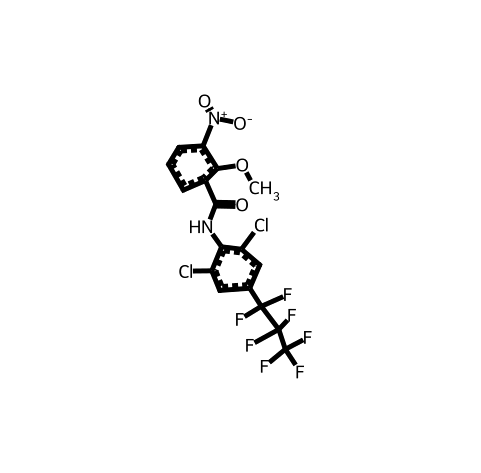 COc1c(C(=O)Nc2c(Cl)cc(C(F)(F)C(F)(F)C(F)(F)F)cc2Cl)cccc1[N+](=O)[O-]